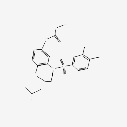 CCOC(=O)[C@H](C)C[C@H]1CN(S(=O)(=O)c2ccc(F)c(Cl)c2)c2cc(NC(=O)OC(C)(C)C)ccc2O1